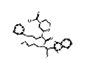 CCCCCN(C(=O)c1nc2ccccc2o1)C(=O)C(CCSc1ccccc1)C1CN(C(N)=O)CCO1